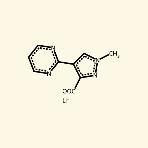 Cn1cc(-c2ncccn2)c(C(=O)[O-])n1.[Li+]